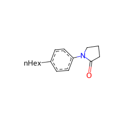 CCCCCCc1ccc(N2CCCC2=O)cc1